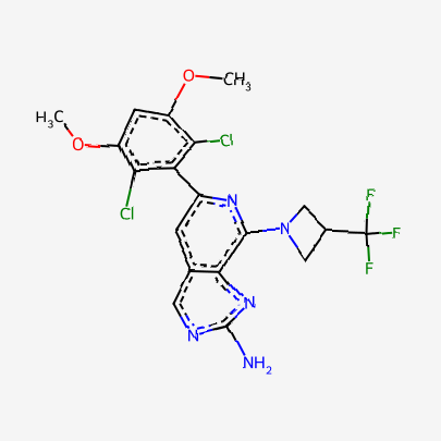 COc1cc(OC)c(Cl)c(-c2cc3cnc(N)nc3c(N3CC(C(F)(F)F)C3)n2)c1Cl